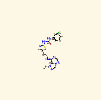 CCn1ncc2ncnc(NCCc3cnc(NC(=O)Nc4cccc(Cl)c4)s3)c21